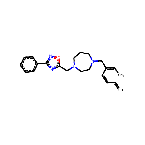 C=C/C=C\C(=C/C)CN1CCCN(Cc2nc(-c3ccccc3)no2)CC1